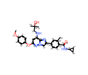 COc1ccc(Oc2cc(NCC(C)(C)O)c3nc(-c4ccc(C(=O)NC5CC5)c(C)c4)cn3n2)cc1